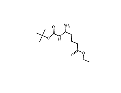 CCOC(=O)CCCC(N)NC(=O)OC(C)(C)C